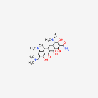 CN(C)Cc1cc(N(C)C)c2c(c1O)C(=O)C1=C(O)[C@]3(O)C(=O)C(C(N)=O)=C(O)[C@@H](N(C)C)C3CC1C2